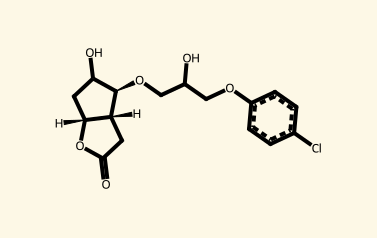 O=C1C[C@H]2[C@H](OCC(O)COc3ccc(Cl)cc3)C(O)C[C@H]2O1